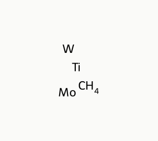 C.[Mo].[Ti].[W]